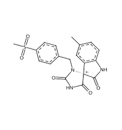 Cc1ccc2c(c1)[C@]1(C(=O)NC(=O)N1Cc1ccc(S(C)(=O)=O)cc1)C(=O)N2